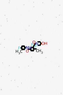 C=Cc1ccc(C(=O)Nc2ccc(F)c(C)c2)cc1C(F)(F)C(=O)N1CCC(O)CC1